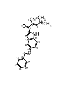 CN(C)C=C(C#N)C(=O)c1cc2cc(OCc3ccccc3)ccc2[nH]1